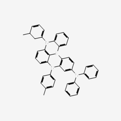 Cc1ccc(N2c3cc(N(c4ccccc4)c4ccccc4)ccc3B3c4ccccc4N(C4=CC=CC(C)C4)c4cccc2c43)cc1